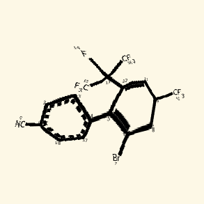 N#Cc1ccc(C2=C(Br)[CH]C(C(F)(F)F)C=C2C(F)(C(F)(F)F)C(F)(F)F)cc1